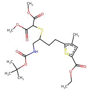 CCOC(=O)c1cc(C)c(CCC(CNC(=O)OC(C)(C)C)SC(C(=O)OC)C(=O)OC)s1